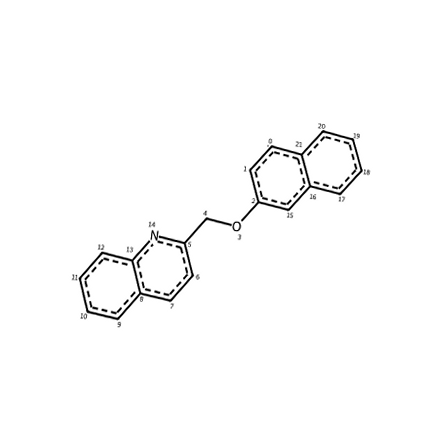 [c]1cc(OCc2ccc3ccccc3n2)cc2ccccc12